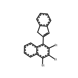 CCc1c(CC)c(C2=Cc3ccccc3[CH]2)c2ccccc2c1CC